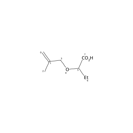 C=C(C)COC(CC)C(=O)O